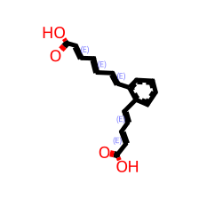 O=C(O)/C=C/C=C/C=C/c1ccccc1/C=C/C=C/C(=O)O